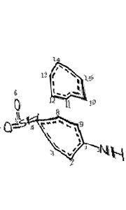 Nc1ccc([SH](=O)=O)cc1.c1ccccc1